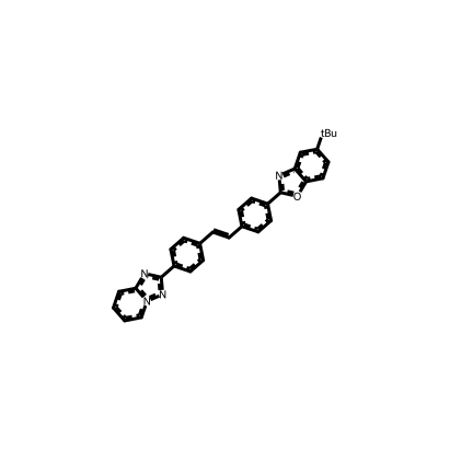 CC(C)(C)c1ccc2oc(-c3ccc(C=Cc4ccc(-c5nc6ccccn6n5)cc4)cc3)nc2c1